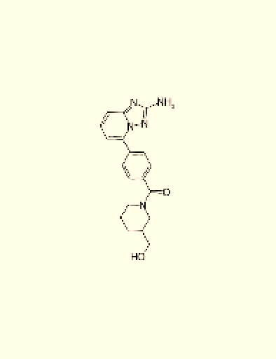 Nc1nc2cccc(-c3ccc(C(=O)N4CCCC(CO)C4)cc3)n2n1